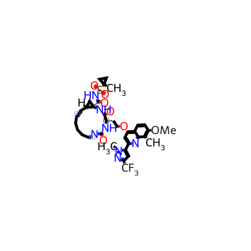 COc1ccc2c(OCC[C@@H]3NC(=O)/N=C/CCC/C=C\[C@@H]4C[C@@]4(C(=O)NS(=O)(=O)C4(C)CC4)NC3=O)cc(-c3cc(C(F)(F)F)nn3C)nc2c1C